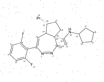 C=C1N=NC(c2c(F)cccc2F)=CC2[C@H](C(C)C)CC[C@@]12C(=O)NC1CCCC1